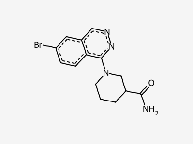 NC(=O)C1CCCN(c2nncc3cc(Br)ccc23)C1